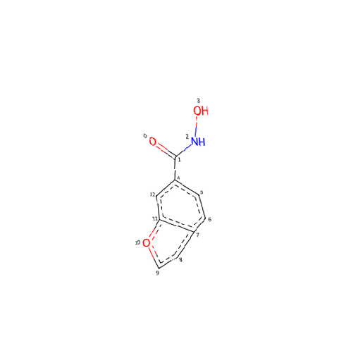 O=C(NO)c1ccc2ccoc2c1